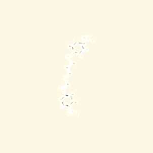 Cc1ccc(SCCCCCSc2ccc(C)cc2)cc1